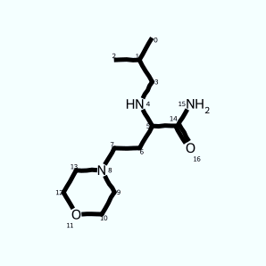 CC(C)CNC(CCN1CCOCC1)C(N)=O